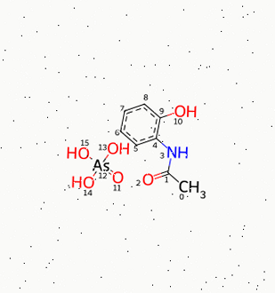 CC(=O)Nc1ccccc1O.O=[As](O)(O)O